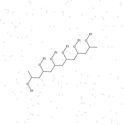 CCOC(C)CC(CC(CC(CC(CC(C)OCC)OCC)OCC)OCC)OCC